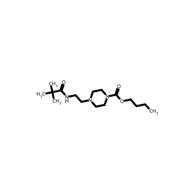 CCCCOC(=O)N1CCN(CCNC(=O)C(C)(C)C)CC1